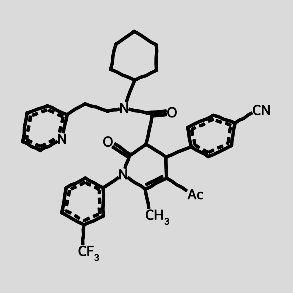 CC(=O)C1=C(C)N(c2cccc(C(F)(F)F)c2)C(=O)C(C(=O)N(CCc2ccccn2)C2CCCCC2)C1c1ccc(C#N)cc1